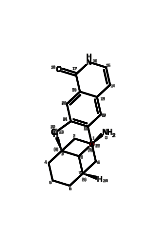 N[C@@H]1C[C@H]2CCC[C@@H](C1)C2Oc1cc2cc[nH]c(=O)c2cc1Cl